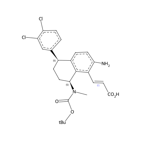 CN(C(=O)OC(C)(C)C)[C@H]1CC[C@@H](c2ccc(Cl)c(Cl)c2)c2ccc(N)c(/C=C/C(=O)O)c21